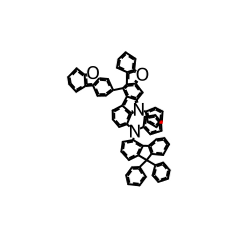 c1ccc(N(c2cccc3c2-c2ccccc2C3(c2ccccc2)c2ccccc2)c2cccc3c4c(-c5ccc6c(c5)oc5ccccc56)c5c(cc4n(-c4ccccc4)c23)oc2ccccc25)cc1